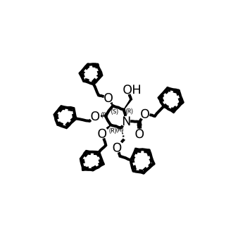 O=C(OCc1ccccc1)N1[C@H](CO)[C@H](OCc2ccccc2)[C@@H](OCc2ccccc2)[C@H](OCc2ccccc2)[C@H]1COCc1ccccc1